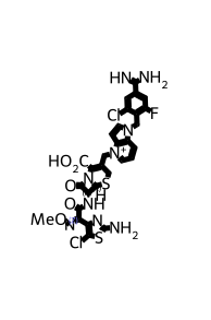 CO/N=C(\C(=O)N[C@@H]1C(=O)N2C(C(=O)O)=C(C[n+]3cccc4c3ccn4Cc3c(F)cc(C(=N)N)cc3Cl)CS[C@H]12)c1nc(N)sc1Cl